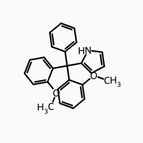 COc1ccccc1C(c1ccccc1)(c1ccc[nH]1)c1ccccc1OC